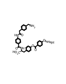 CCCCCCCOc1ccc(C(=O)Oc2ccc(C[C@H](NC(=O)c3ccc(NC(=O)Cc4ccc(CN)cc4)cc3)C(=O)O)cc2)cc1